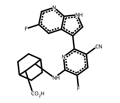 N#Cc1cc(F)c(NC2C3CCC(CC3)C2C(=O)O)nc1-c1c[nH]c2ncc(F)cc12